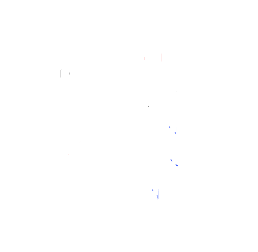 BC1OC(CI)(N=[N+]=[N-])C(O)C1C